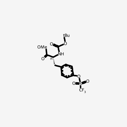 COC(=O)[C@@H](Cc1ccc(OS(=O)(=O)C(F)(F)F)cc1)NC(=O)OC(C)(C)C